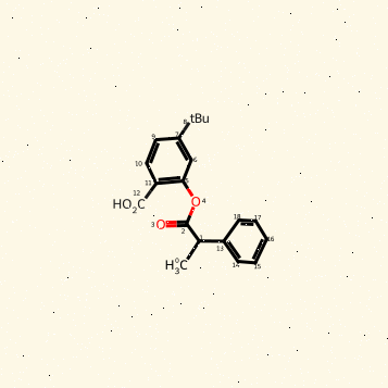 CC(C(=O)Oc1cc(C(C)(C)C)ccc1C(=O)O)c1ccccc1